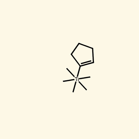 [CH3][Ti]([CH3])([CH3])([CH3])([CH3])[C]1=CCCC1